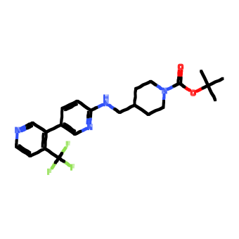 CC(C)(C)OC(=O)N1CCC(CNc2ccc(-c3cnccc3C(F)(F)F)cn2)CC1